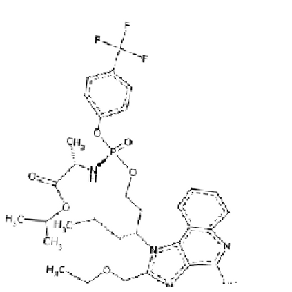 CCC[C@H](CCO[P@](=O)(N[C@@H](C)C(=O)OC(C)C)Oc1ccc(C(F)(F)F)cc1)n1c(COCC)nc2c(N)nc3ccccc3c21